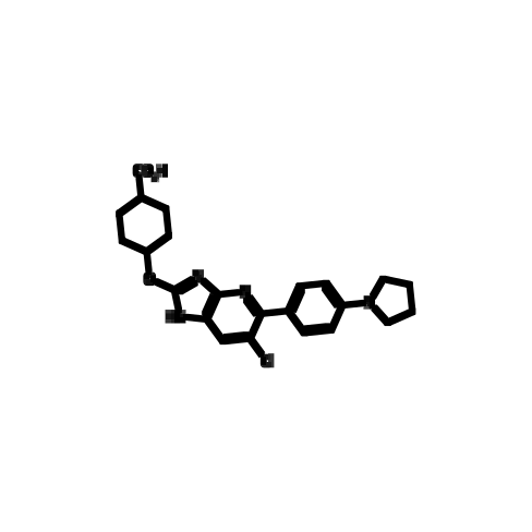 O=C(O)C1CCC(Oc2nc3nc(-c4ccc(N5CCCC5)cc4)c(Cl)cc3[nH]2)CC1